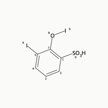 O=S(=O)(O)c1cccc(I)c1OI